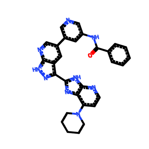 O=C(Nc1cncc(-c2cnc3[nH]nc(-c4nc5c(N6CCCCC6)ccnc5[nH]4)c3c2)c1)c1ccccc1